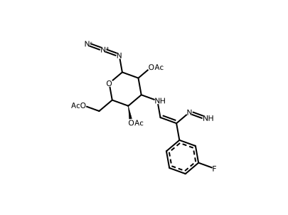 CC(=O)OCC1OC(N=[N+]=[N-])C(OC(C)=O)C(N/C=C(\N=N)c2cccc(F)c2)[C@H]1OC(C)=O